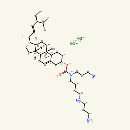 CC[C@H](/C=C/[C@@H](C)[C@H]1CC[C@H]2[C@@H]3CC=C4C[C@@H](OC(=O)N(CCCN)CCCCNCCCN)CC[C@]4(C)[C@H]3CC[C@]12C)C(C)C.Cl.Cl.Cl